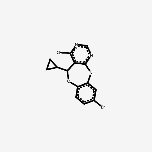 Clc1ncnc2c1C(C1CC1)Oc1ccc(Br)cc1N2